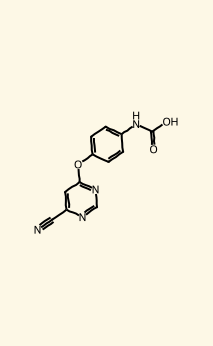 N#Cc1cc(Oc2ccc(NC(=O)O)cc2)ncn1